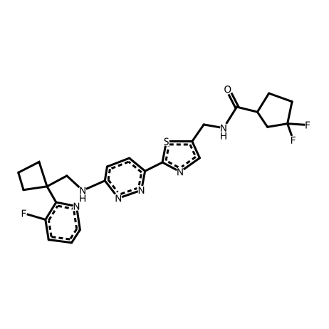 O=C(NCc1cnc(-c2ccc(NCC3(c4ncccc4F)CCC3)nn2)s1)C1CCC(F)(F)C1